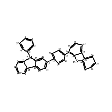 c1ccc(-n2c3ccccc3c3ccc(-c4ccc(-c5cccc6c5sc5ccccc56)cc4)cc32)cc1